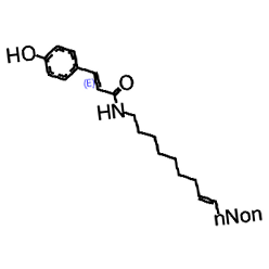 CCCCCCCCCC=CCCCCCCCNC(=O)/C=C/c1ccc(O)cc1